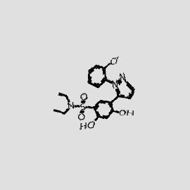 CCN(CC)S(=O)(=O)c1cc(-c2ccnn2-c2ccccc2Cl)c(O)cc1O